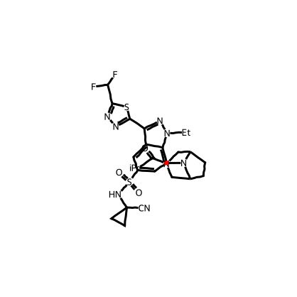 CCn1nc(-c2nnc(C(F)F)s2)c2cc(S(=O)(=O)NC3(C#N)CC3)cc(N3C4CCC3CN(C(=O)C(C)C)C4)c21